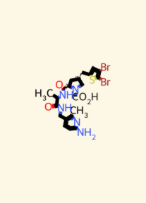 Cc1nc(N)ccc1CNC(=O)C(C)NC(=O)[C@H]1C[C@H](Cc2cc(Br)c(Br)s2)CN1C(=O)O